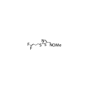 CON=Cc1cnc(SCCC=C(F)F)s1